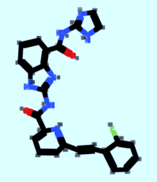 O=C(Nc1nc2c(C(=O)Nc3ncc[nH]3)cccc2[nH]1)c1cccc(C#Cc2ccccc2F)n1